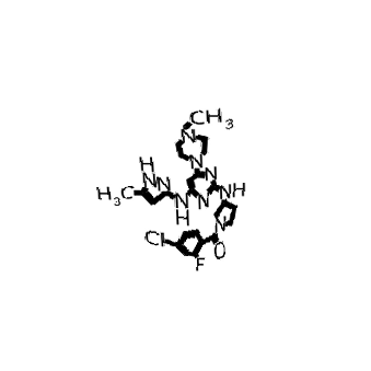 CCN1CCN(c2cc(Nc3cc(C)[nH]n3)nc(NC3CCN(C(=O)c4ccc(Cl)cc4F)C3)n2)CC1